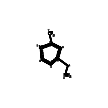 NCc1ccnc(C(F)(F)F)c1